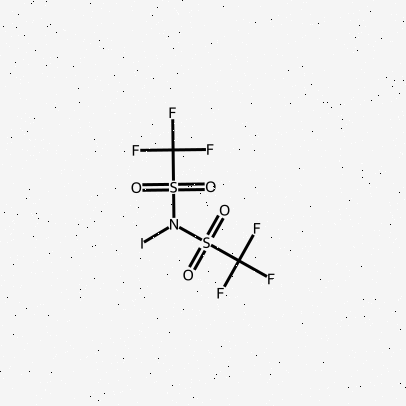 O=S(=O)(N(I)S(=O)(=O)C(F)(F)F)C(F)(F)F